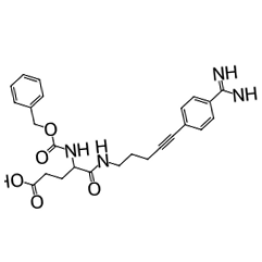 N=C(N)c1ccc(C#CCCCNC(=O)C(CCC(=O)O)NC(=O)OCc2ccccc2)cc1